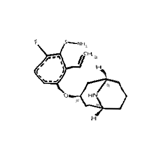 C=Cc1c(O[C@@H]2C[C@H]3CCC[C@@H](C2)N3)ccc(F)c1SN